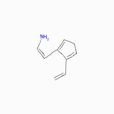 C=CC1=CCC=C1/C=C\N